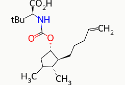 C=CCCC[C@@H]1[C@@H](OC(=O)N[C@H](C(=O)O)C(C)(C)C)CC(C)[C@H]1C